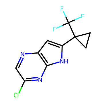 FC(F)(F)C1(c2cc3ncc(Cl)nc3[nH]2)CC1